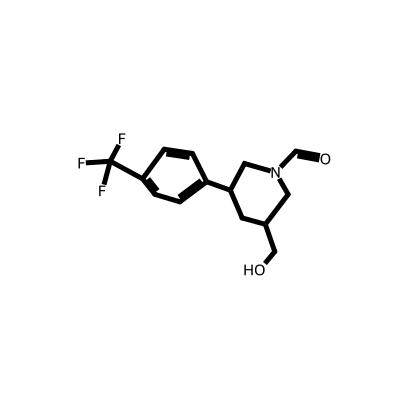 O=CN1CC(CO)CC(c2ccc(C(F)(F)F)cc2)C1